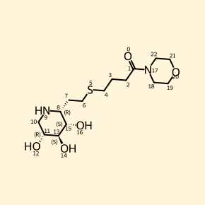 O=C(CCCSCC[C@H]1NC[C@@H](O)[C@H](O)[C@H]1O)N1CCOCC1